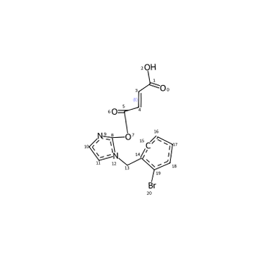 O=C(O)/C=C/C(=O)Oc1nccn1Cc1ccccc1Br